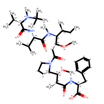 CC[C@H](C)[C@@H]([C@@H](CC(=O)N1CCC[C@H]1[C@H](OC)[C@@H](C)C(=O)N[C@@H](Cc1ccccc1)C(=O)O)OC)N(C)C(=O)[C@@H](NC(=O)[C@H](C(C)C)N(C)C(C)(C)C)C(C)C